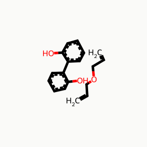 C=CCOCC=C.Oc1ccccc1-c1ccccc1O